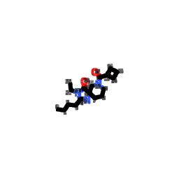 CCCCC1=NC2(CCCN(C(=O)C3CCC3)C2)C(=O)N1CC